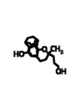 CC1(CCCO)CCc2cc(O)c3c(c2O1)C1CCCC3CC1